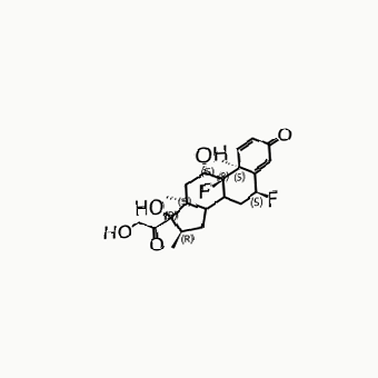 C[C@@H]1CC2C3C[C@H](F)C4=CC(=O)C=C[C@]4(C)[C@@]3(F)[C@@H](O)C[C@]2(C)[C@@]1(O)C(=O)CO